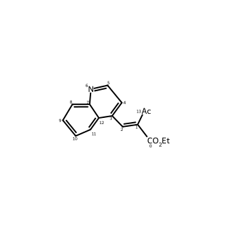 CCOC(=O)C(=Cc1ccnc2ccccc12)C(C)=O